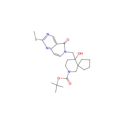 CSc1ncc2c(=O)n(CC3(O)CCN(C(=O)OC(C)(C)C)CC34CCCC4)ccc2n1